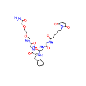 NC(=O)COCCOCNC(=O)CNC(=O)[C@H](Cc1ccccc1)NC(=O)CNC(=O)CNC(=O)CCCCCN1C(=O)C=CC1=O